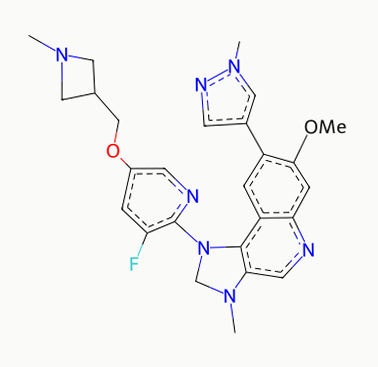 COc1cc2ncc3c(c2cc1-c1cnn(C)c1)N(c1ncc(OCC2CN(C)C2)cc1F)CN3C